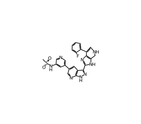 CS(=O)(=O)Nc1cncc(-c2cnc3[nH]nc(-c4nc5c([nH]4)CNC=C5c4ccccc4F)c3c2)c1